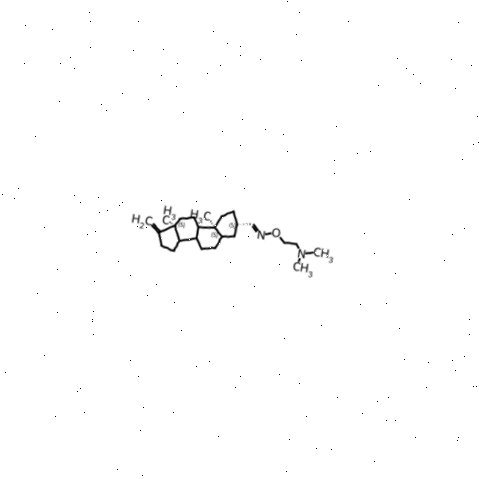 C=C1CCC2C3CCC4C[C@@H](C=NOCCN(C)C)CC[C@]4(C)C3CC[C@]12C